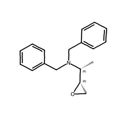 C[C@H]([C@@H]1CO1)N(Cc1ccccc1)Cc1ccccc1